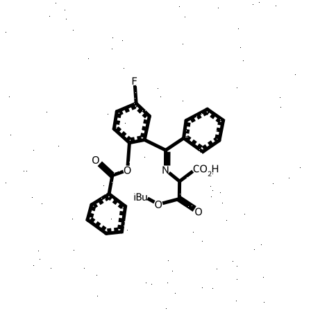 CCC(C)OC(=O)C(N=C(c1ccccc1)c1cc(F)ccc1OC(=O)c1ccccc1)C(=O)O